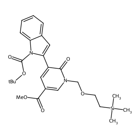 COC(=O)c1cc(-c2cc3ccccc3n2C(=O)OC(C)(C)C)c(=O)n(COCC[Si](C)(C)C)c1